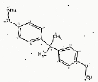 CCCCOc1ccc(C(C)(C)c2ccc(OCCCC)cc2)cc1